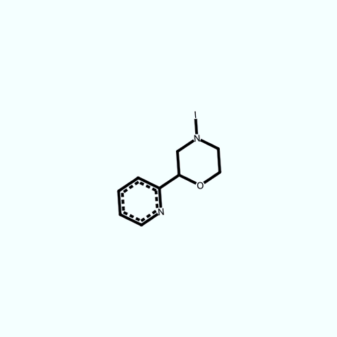 IN1CCOC(c2ccccn2)C1